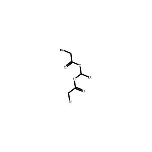 CCC(OC(=O)CBr)OC(=O)CBr